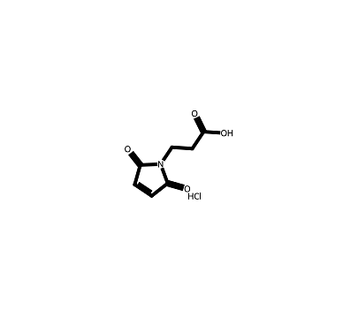 Cl.O=C(O)CCN1C(=O)C=CC1=O